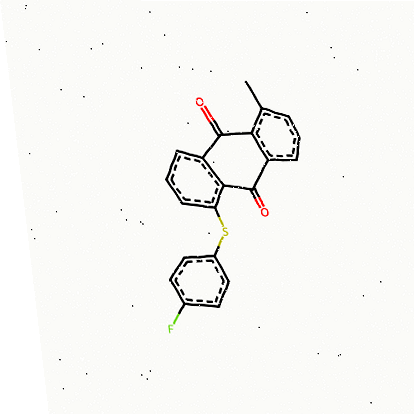 Cc1cccc2c1C(=O)c1cccc(Sc3ccc(F)cc3)c1C2=O